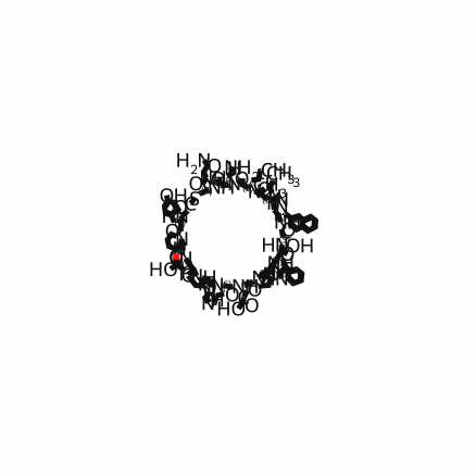 CCCC[C@H]1C(=O)N[C@@H](CCN)C(=O)N[C@H](C(=O)NCC(N)=O)CSCC(=O)N[C@@H](Cc2ccc(O)cc2)C(=O)N2CCCC[C@H]2C(=O)N[C@@H](CC(=O)O)C(=O)N2CCC[C@H]2C(=O)N[C@@H](Cc2cnc[nH]2)C(=O)N[C@@H](CCC(=O)O)C(=O)N2CCC[C@H]2C(=O)N[C@@H](Cc2c[nH]c3ccccc23)C(=O)N[C@@H](CO)C(=O)N[C@@H](Cc2ccc3ccccc3c2)c2nnnn2[C@@H](CCCC)C(=O)N1C